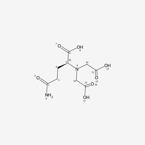 NC(=O)CC[C@@H](C(=O)O)N(CC(=O)O)CC(=O)O